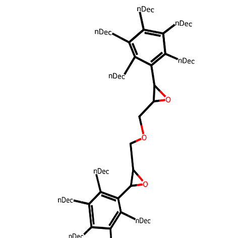 CCCCCCCCCCc1c(CCCCCCCCCC)c(CCCCCCCCCC)c(C2OC2COCC2OC2c2c(CCCCCCCCCC)c(CCCCCCCCCC)c(CCCCCCCCCC)c(CCCCCCCCCC)c2CCCCCCCCCC)c(CCCCCCCCCC)c1CCCCCCCCCC